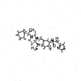 Cc1cc(S(=O)(=O)Nc2cscn2)c(F)cc1N(C)C1CCN([C@H](C)c2ccccc2)CC1